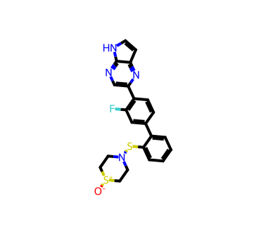 [O-][S+]1CCN(Sc2ccccc2-c2ccc(-c3cnc4[nH]ccc4n3)c(F)c2)CC1